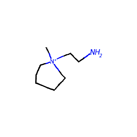 C[N+]1(CCN)CCCC1